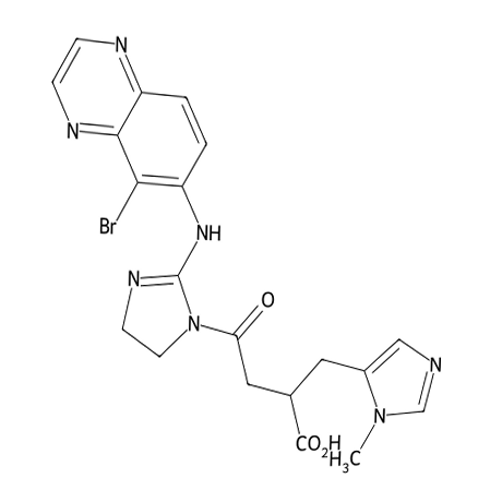 Cn1cncc1CC(CC(=O)N1CCN=C1Nc1ccc2nccnc2c1Br)C(=O)O